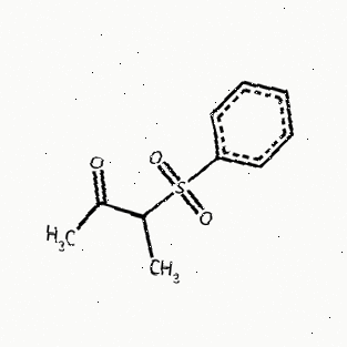 CC(=O)C(C)S(=O)(=O)c1ccccc1